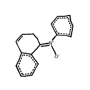 [O-][N+](=C1CC=Cc2ccccc21)c1ccccc1